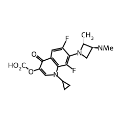 CN[C@H]1CN(c2c(F)cc3c(=O)c(OC(=O)O)cn(C4CC4)c3c2F)[C@@H]1C